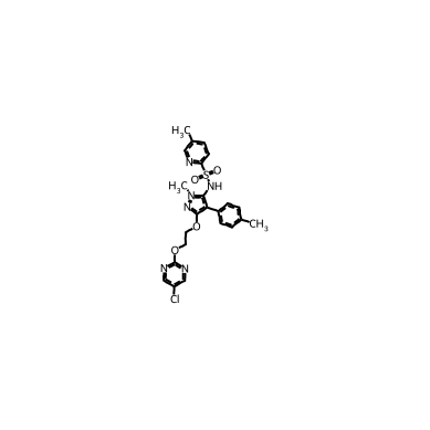 Cc1ccc(-c2c(OCCOc3ncc(Cl)cn3)nn(C)c2NS(=O)(=O)c2ccc(C)cn2)cc1